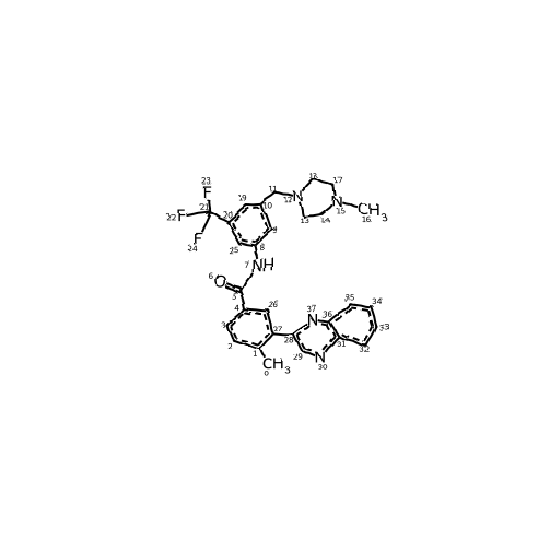 Cc1ccc(C(=O)Nc2cc(CN3CCN(C)CC3)cc(C(F)(F)F)c2)cc1-c1cnc2ccccc2n1